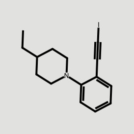 CCC1CCN(c2ccccc2C#CI)CC1